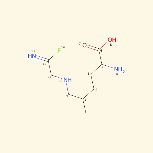 CC(CCC(N)C(=O)O)CNCC(=N)F